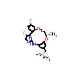 C[C@H]1CCOc2cc(F)ccc2-c2nc(ncc2F)Nc2cc(C[S@](C)=N)cc(c2)O1